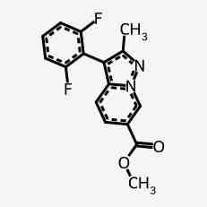 COC(=O)c1ccc2c(-c3c(F)cccc3F)c(C)nn2c1